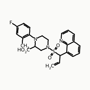 C=CC(c1cccc2cccnc12)S(=O)(=O)N1CCN(c2ccc(F)cc2C)C(C(=O)O)C1